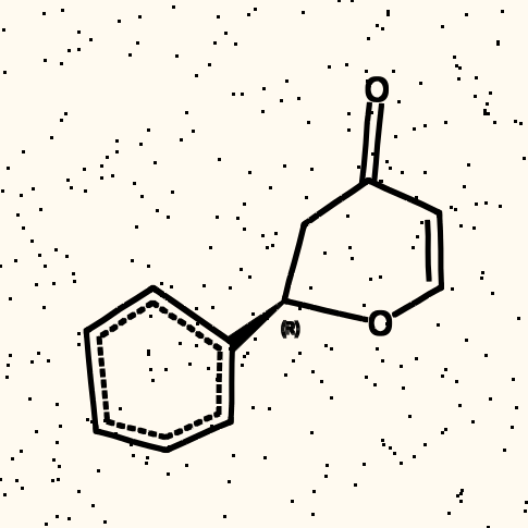 O=C1C=CO[C@@H](c2ccccc2)C1